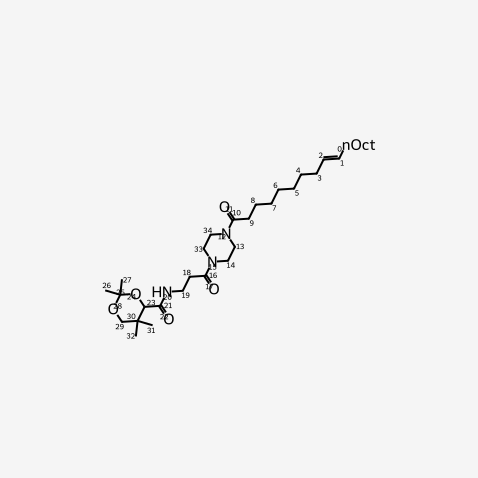 CCCCCCCC/C=C/CCCCCCCC(=O)N1CCN(C(=O)CCNC(=O)C2OC(C)(C)OCC2(C)C)CC1